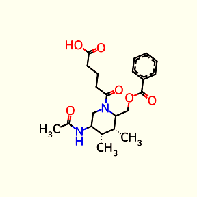 CC(=O)NC1CN(C(=O)CCCC(=O)O)C(COC(=O)c2ccccc2)[C@H](C)[C@@H]1C